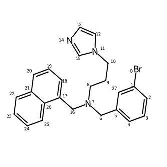 Brc1cccc(CN(CCCn2ccnc2)Cc2cccc3ccccc23)c1